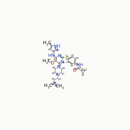 COc1c(Nc2cc(C)[nH]n2)nc(Sc2ccc(NC(=O)C3CC3)cc2)nc1N1CCN(CCN(C)C)CC1